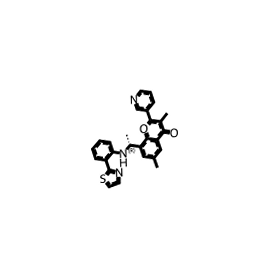 Cc1cc([C@@H](C)Nc2ccccc2-c2nccs2)c2oc(-c3cccnc3)c(C)c(=O)c2c1